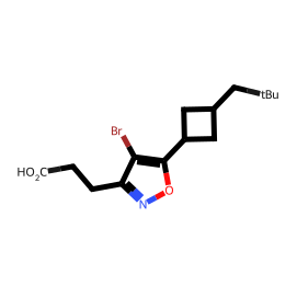 CC(C)(C)CC1CC(c2onc(CCC(=O)O)c2Br)C1